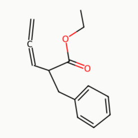 C=C=CC(Cc1ccccc1)C(=O)OCC